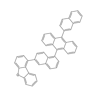 c1ccc2cc(-c3c4ccccc4c(-c4cccc5cc(-c6cccc7oc8ccccc8c67)ccc45)c4ccccc34)ccc2c1